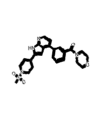 CS(=O)(=O)N1C=CC(c2cc3c(-c4cccc(C(=O)N5CCOCC5)c4)ccnc3[nH]2)CC1